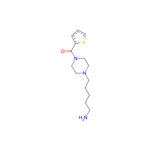 NCCCCCN1CCN(C(=O)c2cccs2)CC1